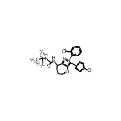 CC(C)(C)NC(=O)NC1CCCOc2c1nn(-c1ccccc1Cl)c2-c1ccc(Cl)cc1